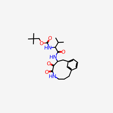 CC(C)C(NC(=O)OCC(C)(C)C)C(=O)NC1Cc2cccc(c2)CCCNC(=O)C1=O